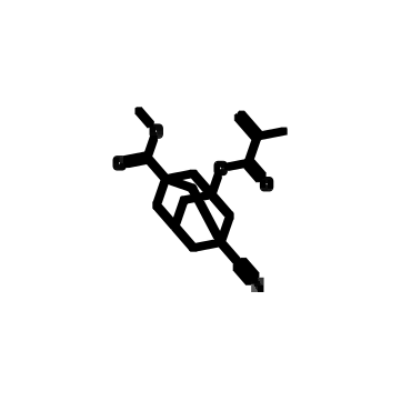 C=C(C)C(=O)OC12CC3CC(C#N)(C1)CC(C(=O)OC)(C3)C2